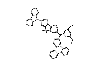 CCc1cc(CC)cc(N(c2cccc(-c3ccccc3-c3ccccc3)c2)c2ccc3c(c2)C(C)(C)c2cc(-n4c5ccccc5c5ccccc54)ccc2-3)c1